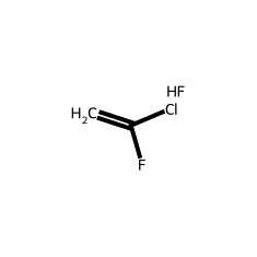 C=C(F)Cl.F